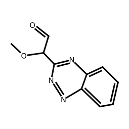 COC(C=O)c1nnc2ccccc2n1